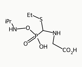 CCSC(NCC(=O)O)P(=O)(O)ONC(C)C